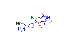 CC1COc2c(N3CCC(C(N)CC#N)C3)c(F)cc3c(=O)[nH]c(=O)n1c23